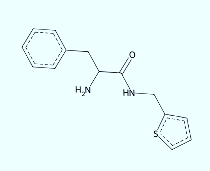 NC(Cc1ccccc1)C(=O)NCc1cccs1